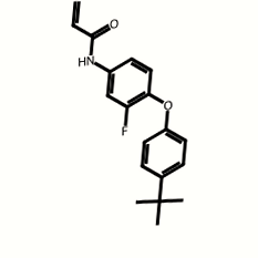 C=CC(=O)Nc1ccc(Oc2ccc(C(C)(C)C)cc2)c(F)c1